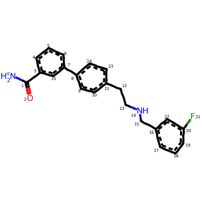 NC(=O)c1cccc(-c2ccc(CCNCc3cccc(F)c3)cc2)c1